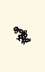 COc1ccccc1N1CCN(C(=O)C2(Oc3ccc(C(C)C)cc3)CCCN(C(=O)c3cnccc3C(F)(F)F)C2)CC1